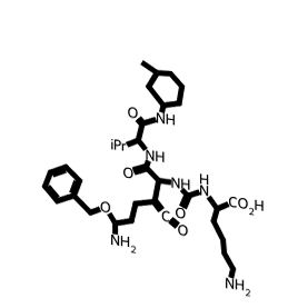 CC1CCCC(NC(=O)C(NC(=O)C(NC(=O)NC(CCCCN)C(=O)O)C(=C=O)CCC(N)OCc2ccccc2)C(C)C)C1